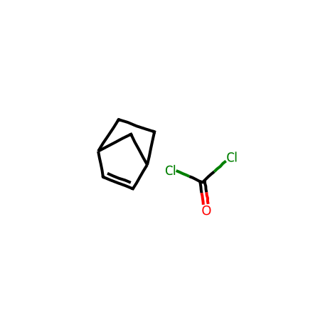 C1=CC2CCC1C2.O=C(Cl)Cl